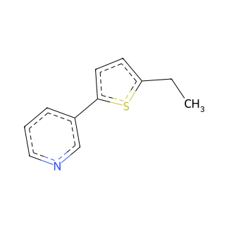 CCc1ccc(-c2cccnc2)s1